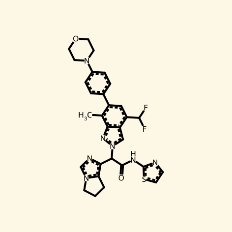 Cc1c(-c2ccc(N3CCOCC3)cc2)cc(C(F)F)c2cn(C(C(=O)Nc3nccs3)c3ncn4c3CCC4)nc12